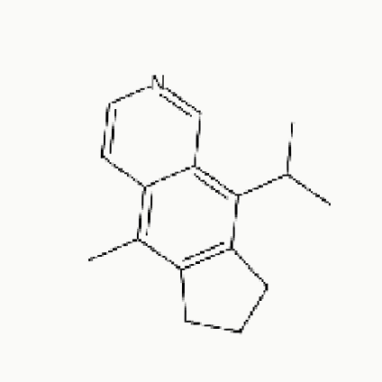 Cc1c2c(c(C(C)C)c3cnccc13)CCC2